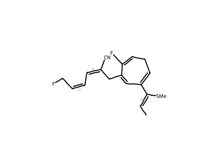 C/C=C(\SC)C1=CCC=C(F)C(C/C(C#N)=C\C=C/CF)=C1